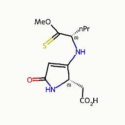 CCC[C@H](NC1=CC(=O)N[C@H]1CC(=O)O)C(=S)OC